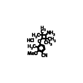 COc1c(C#N)ccc(OC2C(C)(C)C(N)C2(C)C)c1C.Cl